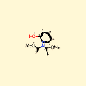 COC(C)NC(C)OC.Oc1ccccc1